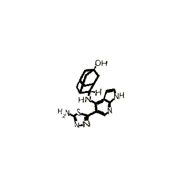 Nc1nnc(-c2cnc3[nH]ccc3c2N[C@H]2C3CC4CC2C[C@](O)(C4)C3)s1